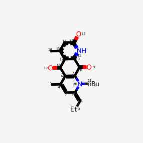 CC/C=C1\C=C(C)C2=C(C(=O)c3[nH]c(=O)cc(C)c3C2=O)N1CCCC